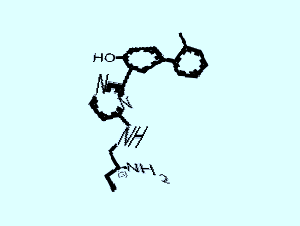 CC[C@H](N)CNc1ccnc(-c2cc(-c3ccccc3C)ccc2O)n1